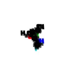 Cc1ccc(-c2cccc(C#N)c2)cc1C(=O)c1ccc(Nc2ccc(F)cc2F)cc1Cl